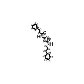 O=C(C=Cc1ccccc1)Nc1nnc(NCCCc2ccccc2)s1